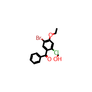 CCOc1cc(Cl)c(C(=O)c2ccccc2)cc1Br.CO